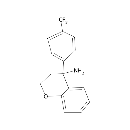 NC1(c2ccc(C(F)(F)F)cc2)CCOc2ccccc21